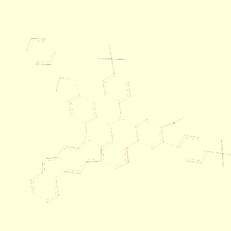 CC(C)(C)c1ccc(N2B3c4cc5c(cc4-n4c6cc7sc8ccccc8c7cc6c6ccc(c3c64)-c3cc4c(cc32)C(C)(C)c2cc(C(C)(C)C)ccc2-4)CC(c2ccccc2)O5)cc1